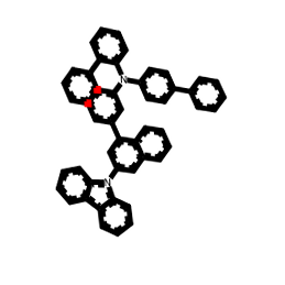 c1ccc(-c2ccc(N(c3cccc(-c4cc(-n5c6ccccc6c6ccccc65)cc5ccccc45)c3)c3ccccc3-c3ccccc3)cc2)cc1